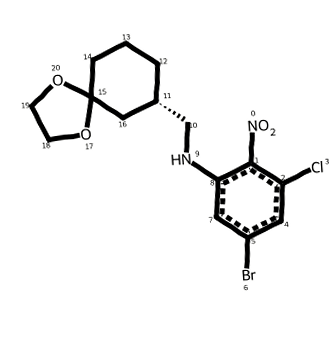 O=[N+]([O-])c1c(Cl)cc(Br)cc1NC[C@H]1CCCC2(C1)OCCO2